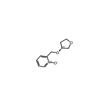 [O-][n+]1ccccc1CO[C@H]1CCOC1